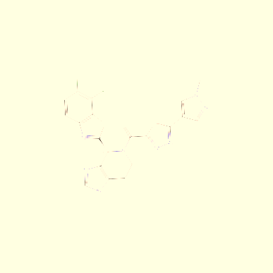 Cn1cc(-c2nnc(C(=O)N3CCc4[nH]cnc4[C@H]3c3nc4ccc(F)c(F)c4o3)o2)cn1